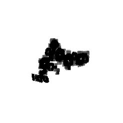 Cc1c(CCC(=O)O)cccc1NC(=O)[C@@H](c1ccc(-c2cncc(OC3CCOCC3)c2)cc1)C1CCCC1